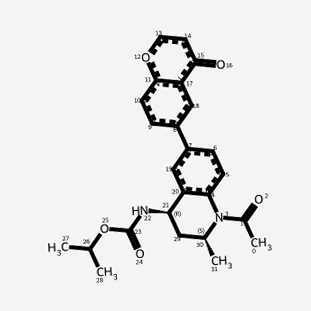 CC(=O)N1c2ccc(-c3ccc4occc(=O)c4c3)cc2[C@H](NC(=O)OC(C)C)C[C@@H]1C